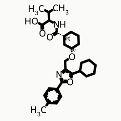 Cc1ccc(-c2nc(CO[C@H]3CCC[C@@H](C(=O)NC(C(=O)O)C(C)C)C3)c(C3CCCCC3)o2)cc1